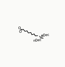 CCCCCCCCCC(=O)[O-].CCCCCCCCCC[N+](C)(C)CCCCCCCCCC